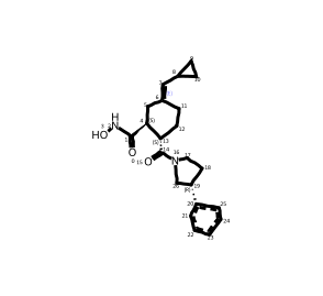 O=C(NO)[C@H]1C/C(=C/C2CC2)CC[C@@H]1C(=O)N1CC[C@H](c2ccccc2)C1